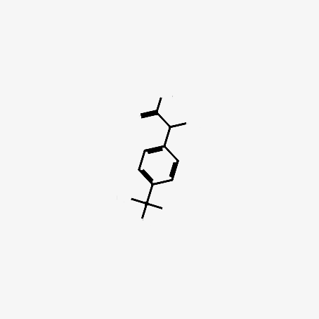 [CH2]C(C(C)=O)c1ccc(C(C)(C)C)cc1